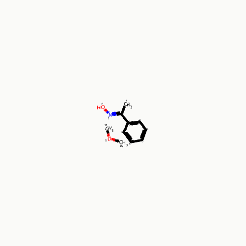 CC(=NO)c1ccccc1.COC